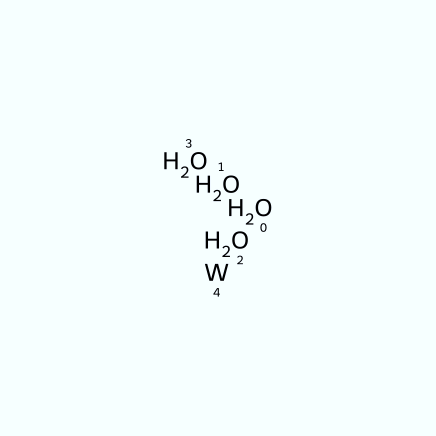 O.O.O.O.[W]